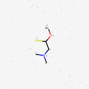 CC(=O)OC(S)CN(C)C